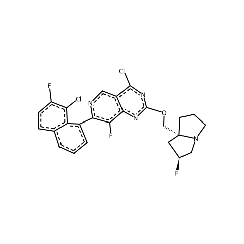 Fc1ccc2cccc(-c3ncc4c(Cl)nc(OC[C@]56CCCN5C[C@@H](F)C6)nc4c3F)c2c1Cl